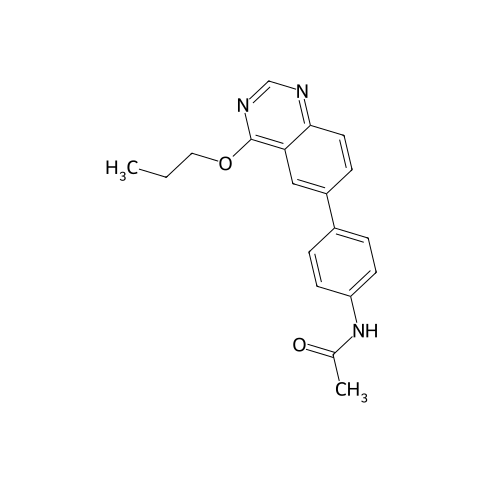 CCCOc1ncnc2ccc(-c3ccc(NC(C)=O)cc3)cc12